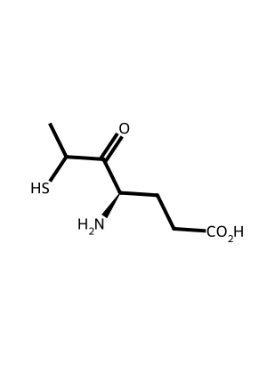 CC(S)C(=O)[C@H](N)CCC(=O)O